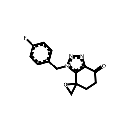 O=C1CCC2(CO2)c2c1nnn2Cc1ccc(F)cc1